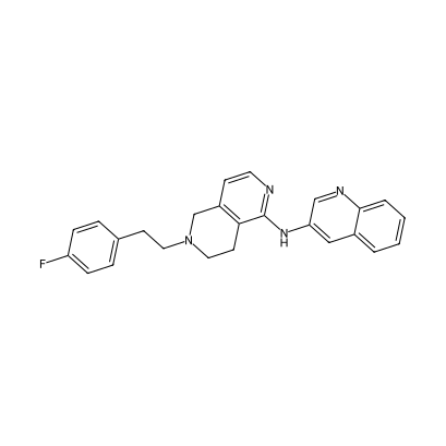 Fc1ccc(CCN2CCc3c(ccnc3Nc3cnc4ccccc4c3)C2)cc1